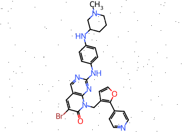 CN1CCCC(Nc2ccc(Nc3ncc4cc(Br)c(=O)n(Cc5ccoc5-c5ccncc5)c4n3)cc2)C1